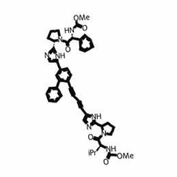 COC(=O)N[C@H](C(=O)N1CCCC1c1ncc(C#CC#Cc2ccc(-c3cnc([C@@H]4CCCN4C(=O)[C@H](NC(=O)OC)c4ccccc4)[nH]3)cc2-c2ccccc2)[nH]1)C(C)C